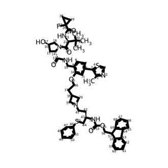 Cc1ncsc1-c1ccc(CNC(=O)[C@@H]2C[C@@H](O)CN2C(=O)[C@@H](NC(=O)C2(F)CC2)C(C)(C)C)c(OCCC2CN(CC[C@H](CSc3ccccc3)NC(=O)OCC3c4ccccc4-c4ccccc43)C2)c1